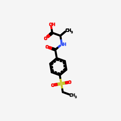 CCS(=O)(=O)c1ccc(C(=O)NC(C)C(=O)O)cc1